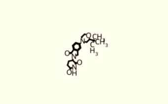 CC(C)(C)C1CN(c2ccc3c(c2)CN(C2CCC(=O)NC2=O)C3=O)CCO1